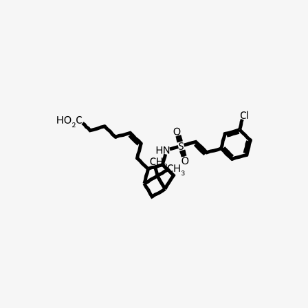 CC1(C)C2CC(NS(=O)(=O)C=Cc3cccc(Cl)c3)C(C/C=C\CCCC(=O)O)C1C2